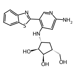 Nc1cc(N[C@@H]2C[C@H](CO)[C@@H](O)[C@H]2O)c(-c2nc3ccccc3s2)cn1